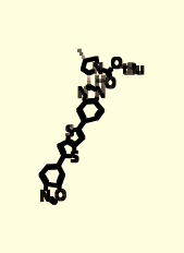 C[C@H]1C[C@@H](c2nc3cc(-c4cc5sc(-c6ccc7ncoc7c6)cc5s4)ccc3[nH]2)N(C(=O)OC(C)(C)C)C1